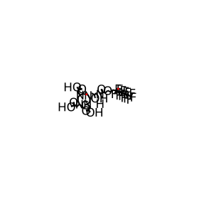 O=C(O)CN1CCN(CC(=O)O)CCN(CC(O)CNC(=O)COCCC(F)(F)C(F)(F)C(F)(F)C(F)(F)C(F)(F)C(F)(F)F)CCN(CC(=O)O)CC1